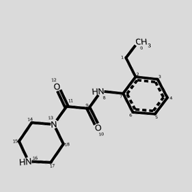 CCc1ccccc1NC(=O)C(=O)N1CCNCC1